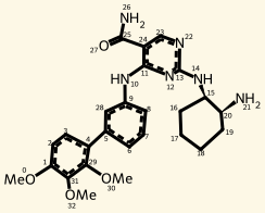 COc1ccc(-c2cccc(Nc3nc(N[C@@H]4CCCC[C@@H]4N)ncc3C(N)=O)c2)c(OC)c1OC